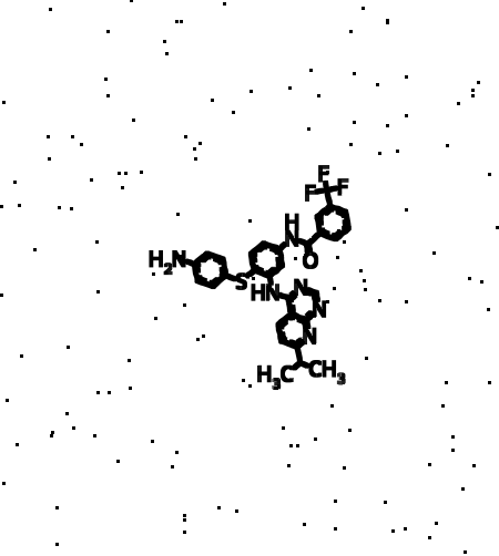 CC(C)c1ccc2c(Nc3cc(NC(=O)c4cccc(C(F)(F)F)c4)ccc3Sc3ccc(N)cc3)ncnc2n1